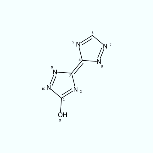 OC1=NC(=C2N=CN=N2)N=N1